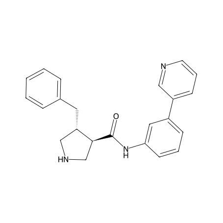 O=C(Nc1cccc(-c2cccnc2)c1)[C@H]1CNC[C@@H]1Cc1ccccc1